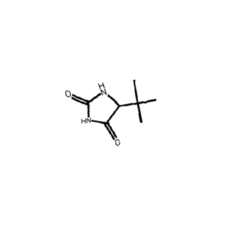 CC(C)(C)C1NC(=O)NC1=O